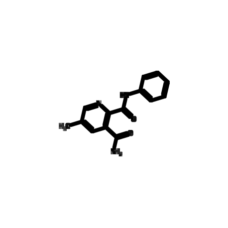 Cc1cnc(C(=O)Nc2ccccc2)c(C(N)=O)c1